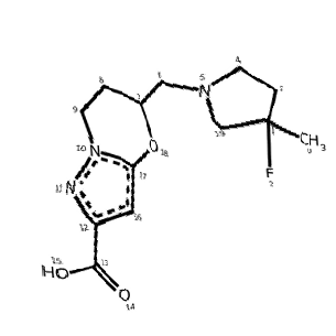 CC1(F)CCN(CC2CCn3nc(C(=O)O)cc3O2)C1